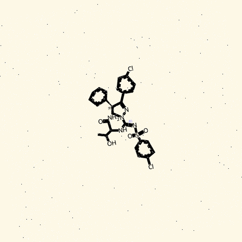 CC(O)C(N/C(=N\S(=O)(=O)c1ccc(Cl)cc1)N1C[C@@H](c2ccccc2)C(c2ccc(Cl)cc2)=N1)C(N)=O